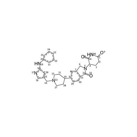 O=C1CCC(N2Cc3cc(C4CCN(Cc5cnc(Nc6ccccc6)s5)CC4)ccc3C2=O)C(=O)N1